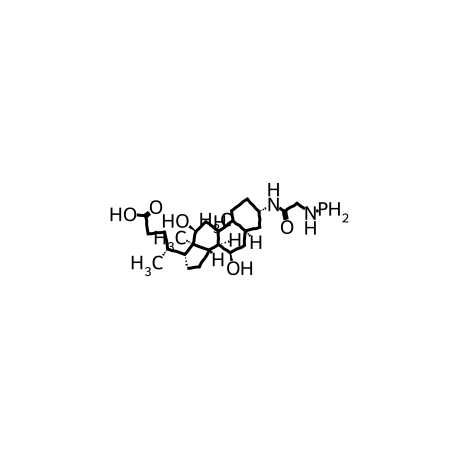 C[C@H](CCC(=O)O)[C@H]1CC[C@H]2[C@@H]3[C@H](O)C[C@@H]4C[C@@H](NC(=O)CNP)CC[C@]4(C)[C@H]3C[C@H](O)[C@]12C